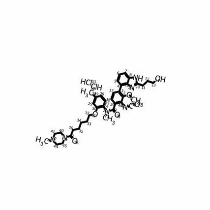 COc1c(-c2cccc3[nH]c(CCCO)nc23)ccc(C(=O)N(C)c2ccc(C)cc2OCCCCCC(=O)N2CCN(C)CC2)c1N=C=O.Cl.Cl